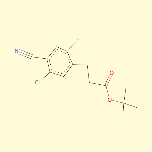 CC(C)(C)OC(=O)CCc1cc(Cl)c(C#N)cc1F